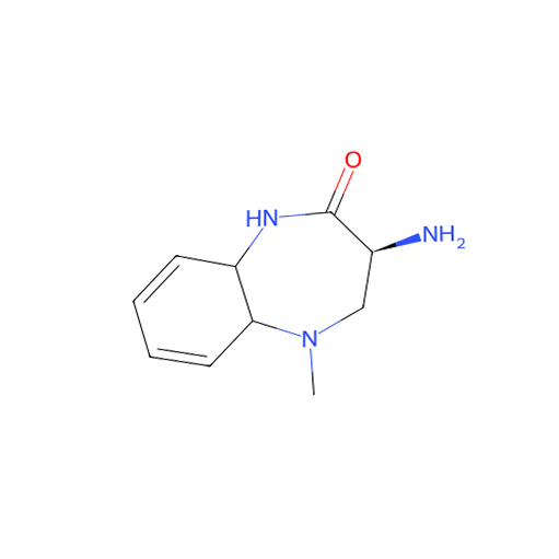 CN1C[C@H](N)C(=O)NC2C=CC=CC21